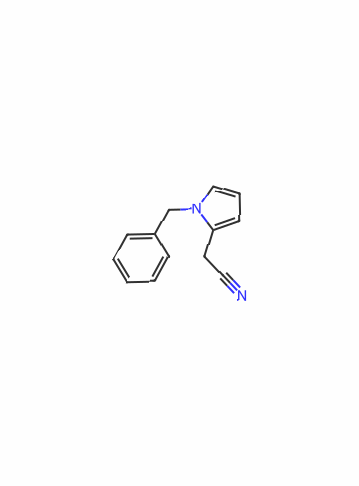 N#CCc1cccn1Cc1ccccc1